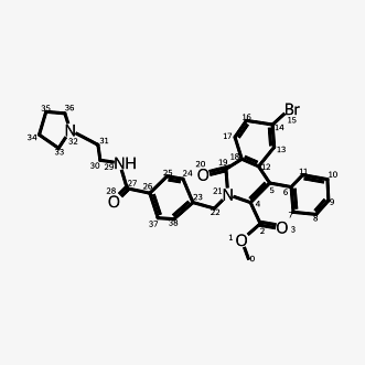 COC(=O)c1c(-c2ccccc2)c2cc(Br)ccc2c(=O)n1Cc1ccc(C(=O)NCCN2CCCC2)cc1